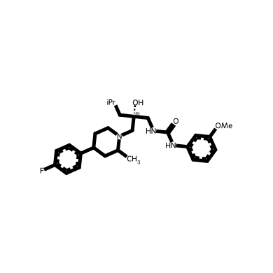 COc1cccc(NC(=O)NC[C@](O)(CC(C)C)CN2CCC(c3ccc(F)cc3)CC2C)c1